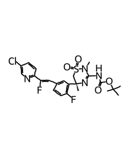 CN1C(NC(=O)OC(C)(C)C)=N[C@](C)(c2cc(/C=C(\F)c3ccc(Cl)cn3)ccc2F)CS1(=O)=O